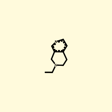 CCN1CCc2ccncc2C1